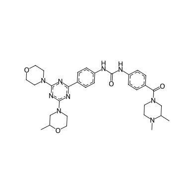 CC1CN(c2nc(-c3ccc(NC(=O)Nc4ccc(C(=O)N5CCN(C)C(C)C5)cc4)cc3)nc(N3CCOCC3)n2)CCO1